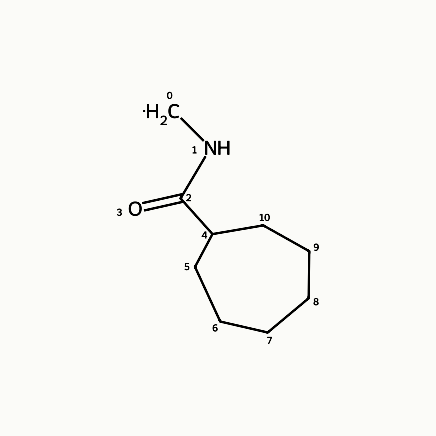 [CH2]NC(=O)C1CCCCCC1